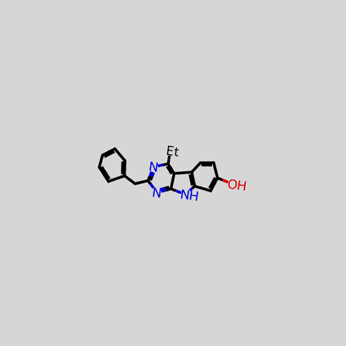 CCc1nc(Cc2ccccc2)nc2[nH]c3cc(O)ccc3c12